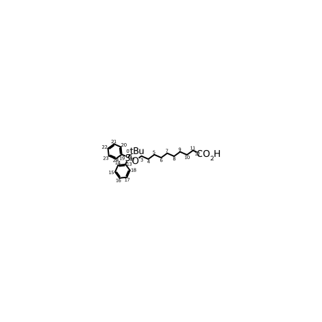 CC(C)(C)[Si](OCCCCCCCCCC(=O)O)(c1ccccc1)c1ccccc1